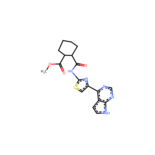 COC(=O)C1CCCCC1C(=O)Nc1nc(-c2ncnc3[nH]ccc23)cs1